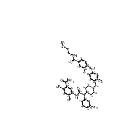 CCOCCNC(=O)c1ccc(Nc2ccc(CN3CCC(N(C(=O)Nc4cc(C(N)=O)c(F)cc4F)c4cccc(F)c4)CC3)c(C)n2)c(C)c1